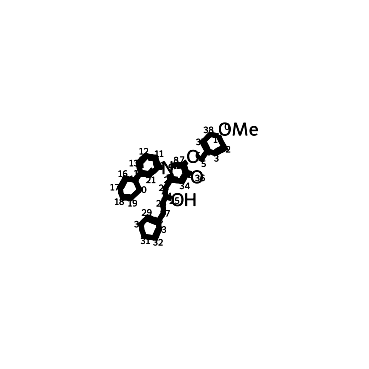 COC1C=CC(COc2cn(-c3cccc(C4C=CC=CC4)c3)c(CC(O)CCC3=CCCC=C3)cc2=O)=CC1